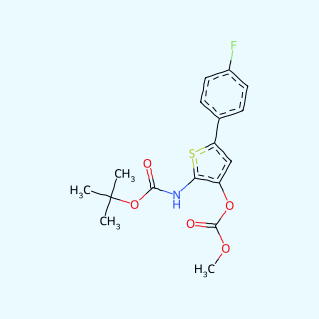 COC(=O)Oc1cc(-c2ccc(F)cc2)sc1NC(=O)OC(C)(C)C